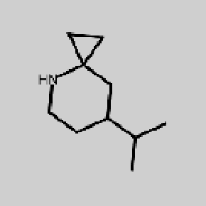 CC(C)C1CCNC2(CC2)C1